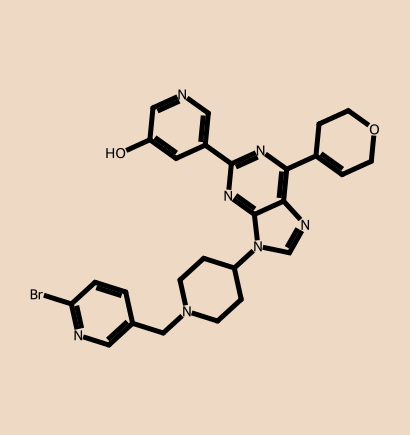 Oc1cncc(-c2nc(C3=CCOCC3)c3ncn(C4CCN(Cc5ccc(Br)nc5)CC4)c3n2)c1